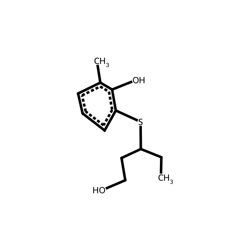 CCC(CCO)Sc1cccc(C)c1O